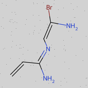 C=C/C(N)=N\C=C(/N)Br